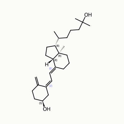 C=C1CC[C@H](O)C/C1=C/C=C1\CCC[C@]2(C)[C@@H](C(C)CCCC(C)(C)O)CC[C@@H]12